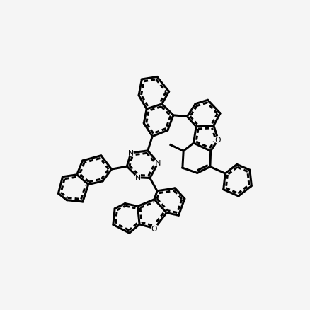 CC1CC=C(c2ccccc2)c2oc3cccc(-c4cc(-c5nc(-c6ccc7ccccc7c6)nc(-c6cccc7oc8ccccc8c67)n5)cc5ccccc45)c3c21